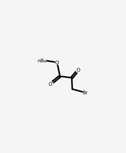 CCCCOC(=O)C(=O)CBr